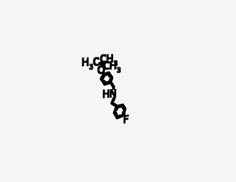 CC(C)(C)Oc1ccc(CNCCc2ccc(F)cc2)cc1